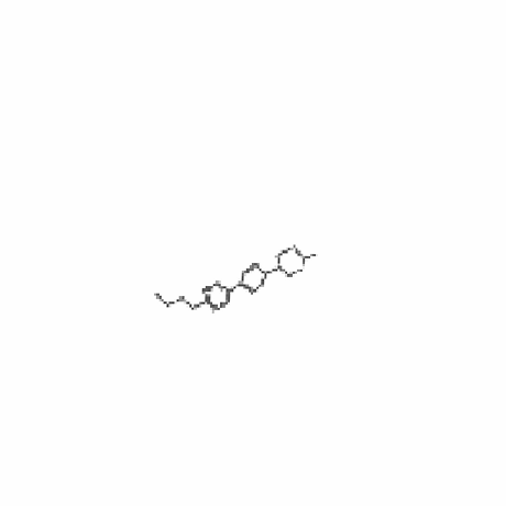 CCCCc1ccc(C2=CCC(C3CCC(C)CC3)C=C2)cc1